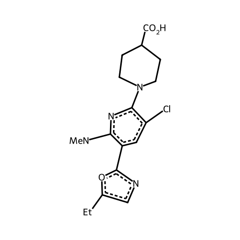 CCc1cnc(-c2cc(Cl)c(N3CCC(C(=O)O)CC3)nc2NC)o1